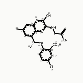 C=C(C#N)CNc1nc2c([C@@H](C)Nc3ccc(Cl)nc3C(=O)O)cc(C)cc2nc1C#N